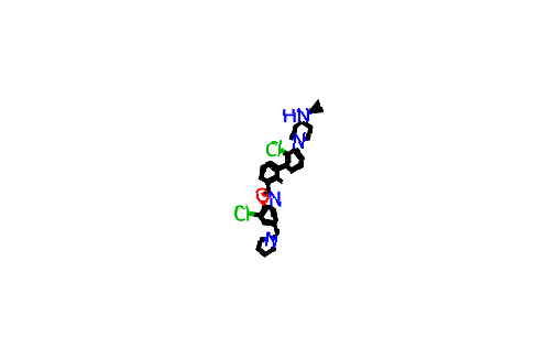 Cc1c(-c2nc3cc(CN4CCCC4)cc(Cl)c3o2)cccc1-c1cccc(N2CCC(NC3CC3)CC2)c1Cl